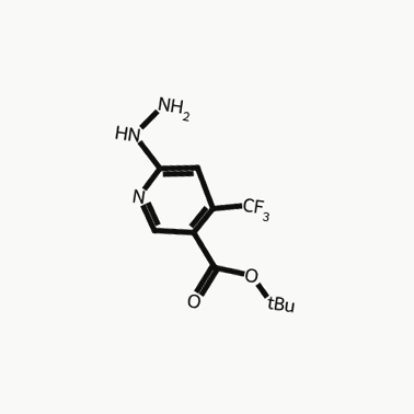 CC(C)(C)OC(=O)c1cnc(NN)cc1C(F)(F)F